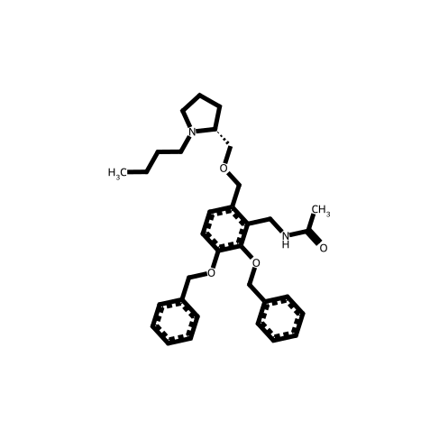 CCCCN1CCC[C@@H]1COCc1ccc(OCc2ccccc2)c(OCc2ccccc2)c1CNC(C)=O